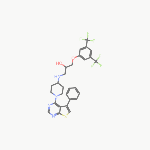 OC(CNC1CCN(c2ncnc3scc(-c4ccccc4)c23)CC1)COc1cc(C(F)(F)F)cc(C(F)(F)F)c1